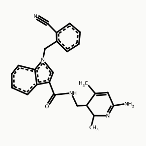 CC1=CC(N)=NC(C)C1CNC(=O)c1cn(Cc2ccccc2C#N)c2ccccc12